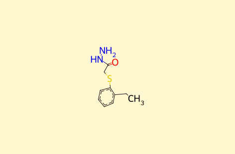 CCc1ccccc1SCC(=O)NN